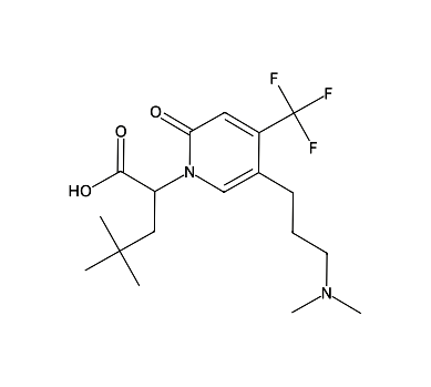 CN(C)CCCc1cn(C(CC(C)(C)C)C(=O)O)c(=O)cc1C(F)(F)F